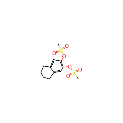 CS(=O)(=O)Oc1cc2c(cc1OS(C)(=O)=O)CCCC2